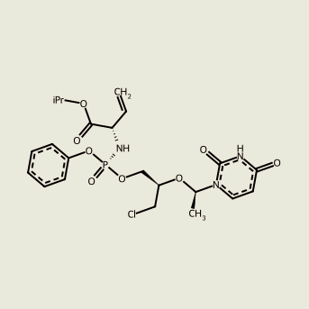 C=C[C@H](N[P@@](=O)(OC[C@H](CCl)O[C@H](C)n1ccc(=O)[nH]c1=O)Oc1ccccc1)C(=O)OC(C)C